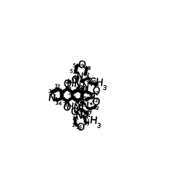 CCC(Nc1ccc(NC(CC)([N+]2([O-])CCOCC2)[N+]2([O-])CCOCC2)c2c1C(=O)c1ccncc1C2=O)([N+]1([O-])CCOCC1)[N+]1([O-])CCOCC1